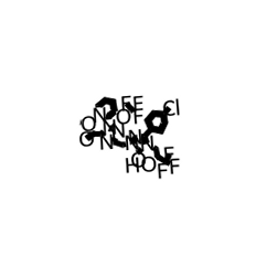 COC(=O)c1nc(Cn2nc(-c3ccc(Cl)cc3)n(CC(O)C(F)(F)F)c2=O)nn1-c1ncccc1OC(F)(F)F